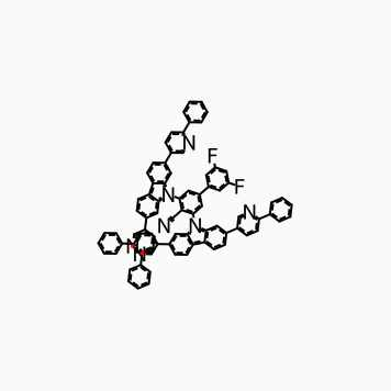 N#Cc1c(-n2c3cc(-c4ccc(-c5ccccc5)nc4)ccc3c3ccc(-c4ccc(-c5ccccc5)nc4)cc32)cc(-c2cc(F)cc(F)c2)cc1-n1c2cc(-c3ccc(-c4ccccc4)nc3)ccc2c2ccc(-c3ccc(-c4ccccc4)nc3)cc21